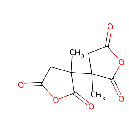 CC1(C2(C)CC(=O)OC2=O)CC(=O)OC1=O